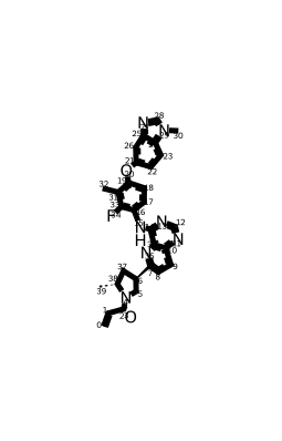 C=CC(=O)N1C[C@H](c2ccc3ncnc(Nc4ccc(Oc5ccc6c(c5)ncn6C)c(C)c4F)c3n2)C[C@H]1C